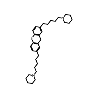 c1cc2c(cc1CCCCCN1CCCCC1)Cc1cc(CCCCCN3CCCCC3)ccc1S2